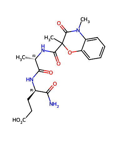 C[C@H](NC(=O)C1(C)Oc2ccccc2N(C)C1=O)C(=O)N[C@H](CCC(=O)O)C(N)=O